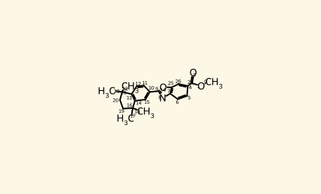 COC(=O)c1ccc2nc(-c3ccc4c(c3)C(C)(C)CCC4(C)C)oc2c1